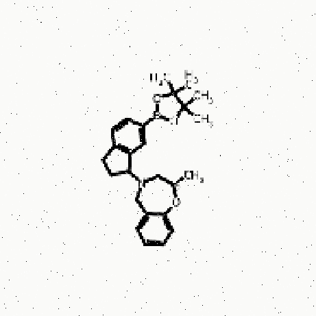 C[C@@H]1CN(C2CCc3ccc(B4OC(C)(C)C(C)(C)O4)cc32)Cc2ccccc2O1